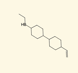 C=CC1CCC(C2CCC(BCC)CC2)CC1